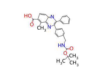 Cc1c(C(=O)O)ccc2nc(-c3ccccc3)c(-c3ccc(CNC(=O)OC(C)(C)C)cc3)nc12